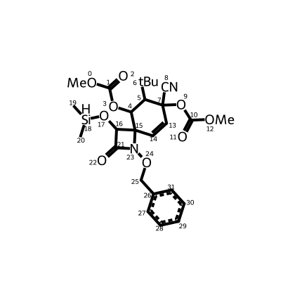 COC(=O)OC1C(C(C)(C)C)C(C#N)(OC(=O)OC)C=CC12C(O[SiH](C)C)C(=O)N2OCc1ccccc1